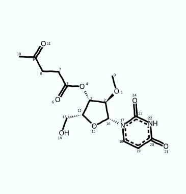 CO[C@@H]1[C@@H](OC(=O)CCC(C)=O)[C@@H](CO)O[C@H]1n1ccc(=O)[nH]c1=O